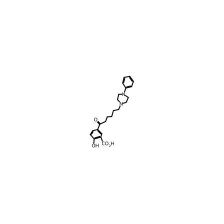 O=C(CCCCCN1CCN(c2ccccc2)CC1)c1ccc(O)c(C(=O)O)c1